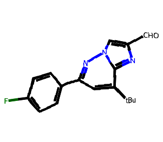 CC(C)(C)c1cc(-c2ccc(F)cc2)nn2cc(C=O)nc12